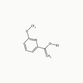 C=C(OCC)c1cccc(OC(F)(F)F)n1